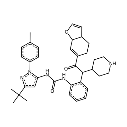 Cc1ccc(-n2nc(C(C)(C)C)cc2NC(=O)Nc2ccccc2C(C(=O)C2=CC3OC=CC3CC2)C2CCNCC2)cc1